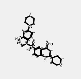 Cc1nc(N2CCOCC2)ccc1N(CC(C)C)S(=O)(=O)c1ccc2c(c1)C(C=O)CC(C1CCOCC1)O2